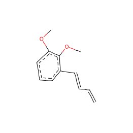 C=CC=Cc1cccc(OC)c1OC